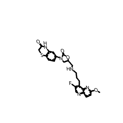 COc1ccc2ncc(F)c(CCCNCC3CN(c4ccc5c(c4)NC(=O)CS5)C(=O)O3)c2n1